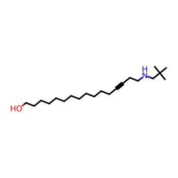 CC(C)(C)CNCCC#CCCCCCCCCCCCCO